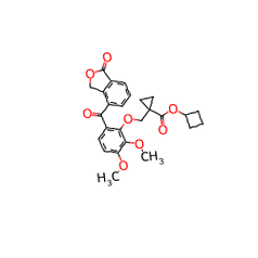 COc1ccc(C(=O)c2cccc3c2COC3=O)c(OCC2(C(=O)OC3CCC3)CC2)c1OC